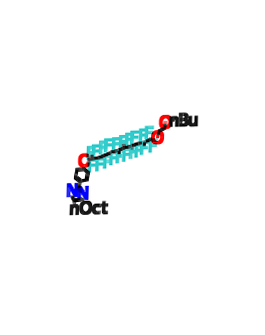 CCCCCCCCc1cnc(-c2ccc(OC(F)(F)C(F)(F)C(F)(F)C(F)(F)C(F)(F)C(F)(F)C(F)(F)C(F)(F)C(F)(F)C(F)(F)OCCOCCCC)cc2)nc1